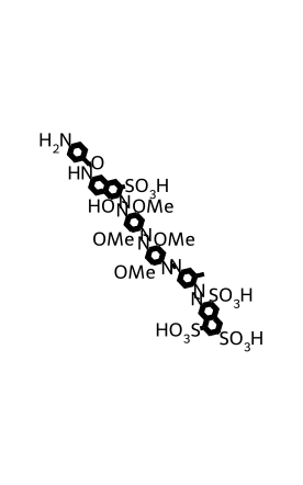 COc1cc(N=Nc2cc(OC)c(N=Nc3c(S(=O)(=O)O)cc4cc(NC(=O)c5ccc(N)cc5)ccc4c3O)cc2OC)c(OC)cc1N=Nc1ccc(N=Nc2cc3c(S(=O)(=O)O)cc(S(=O)(=O)O)cc3cc2S(=O)(=O)O)c(C)c1